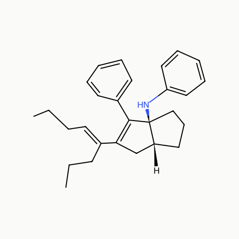 CCC/C=C(\CCC)C1=C(c2ccccc2)[C@]2(Nc3ccccc3)CCC[C@@H]2C1